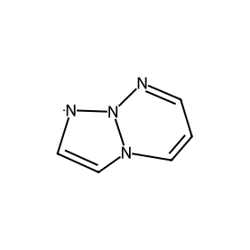 C1=CN2C=C[N]N2N=C1